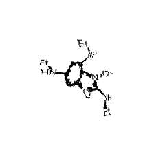 CCNc1cc(NCC)c2c(c1)oc(NCC)[n+]2[O-]